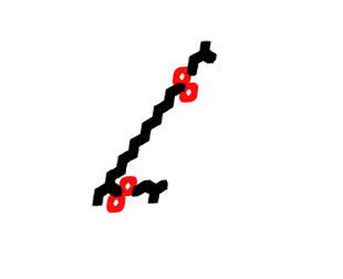 CCC(CCCCCCCCCCCC(=O)OCCC(C)C)C(=O)OCCC(C)C